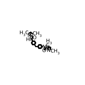 Cc1cc(C)n(C(=O)Nc2ccc(Cc3ccc(NC(=O)n4nc(C)cc4C)cc3)cc2)n1